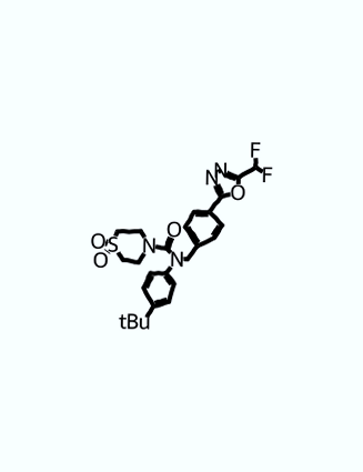 CC(C)(C)c1ccc(N(Cc2ccc(-c3nnc(C(F)F)o3)cc2)C(=O)N2CCS(=O)(=O)CC2)cc1